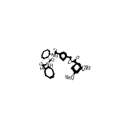 COc1cc(OC)cc(C(=O)OCc2ccc(C(=O)N[C@H]3CCCCCC[C@H]3C(=O)N3C(=O)[C@@H]4CCCCCC[C@@H]43)cc2)c1